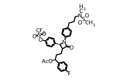 CC(=O)O[C@@H](CCC1C(=O)N(c2ccc(CCCN(C)S(C)(=O)=O)cc2)[C@@H]1c1ccc(OS(=O)(=O)C(F)(F)F)cc1)c1ccc(F)cc1